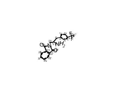 N[C@H](Cc1ccc(C(F)(F)F)cc1)CN1C(=O)c2ccccc2C1=O